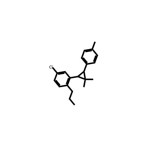 CCCc1ccc(Cl)cc1C1C(c2ccc(C)cc2)C1(C)C